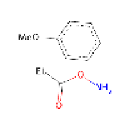 CCC(=O)ON.COc1ccccc1